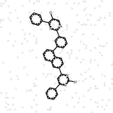 Clc1nc(-c2ccccc2)cc(-c2ccc3c(-c4cccc(-c5ncc(Cl)c(-c6ccccc6)n5)c4)cccc3c2)n1